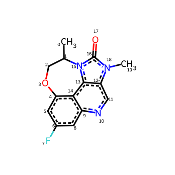 CC1COc2cc(F)cc3ncc4c(c23)n1c(=O)n4C